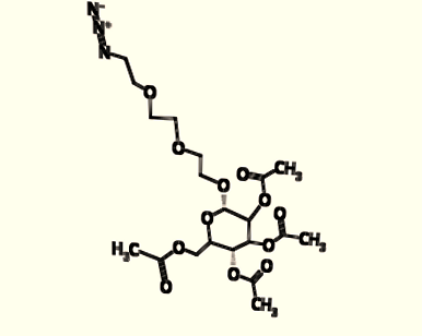 CC(=O)OCC1O[C@H](OCCOCCOCCN=[N+]=[N-])C(OC(C)=O)C(OC(C)=O)[C@@H]1OC(C)=O